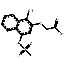 CS(=O)(=O)Nc1cc(SCC(=O)O)c(O)c2ccccc12